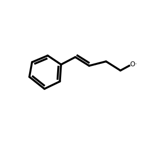 [O]CCC=Cc1ccccc1